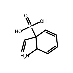 C=CC1(P(=O)(O)O)C=CC=CC1N